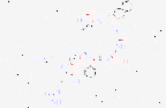 CC(=O)N[C@H]1C(=O)N[C@@H](Cc2ccc3ccccc3c2)C(=O)NCC(=O)N[C@@H](CO)C(=O)N[C@H](Cc2ccccc2)C(=O)N[C@@H](C(=O)N[C@@H](CCCCN)C(=O)N[C@@H](CCCN=C(N)N)C(N)=O)CSSC1(C)C